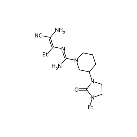 CCC(/N=C(\N)N1CCCC(N2CCN(CC)C2=O)C1)=C(/N)C#N